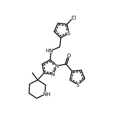 CC1(c2cc(NCc3ccc(Cl)s3)n(C(=O)c3ccsc3)n2)CCCNC1